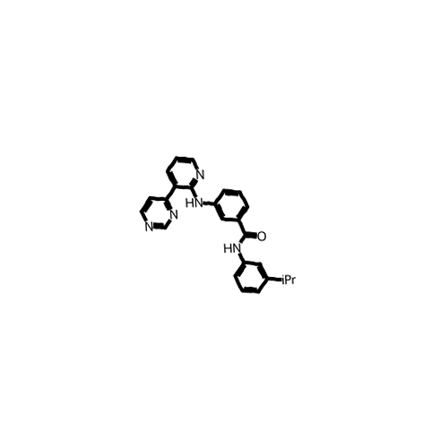 CC(C)c1cccc(NC(=O)c2cccc(Nc3ncccc3-c3ccncn3)c2)c1